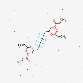 C=CC(=O)OCC(CC(F)(F)C(F)(F)C(F)(F)C(F)(F)CC(COC(=O)C=C)OC(=O)C=C)OC(=O)C=C